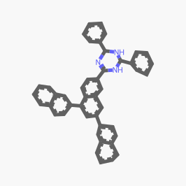 c1ccc(C2N=C(c3ccc4c(-c5ccc6ccccc6c5)cc(-c5ccc6ccccc6c5)cc4c3)NC(c3ccccc3)N2)cc1